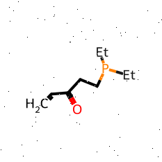 C=CC(=O)CCP(CC)CC